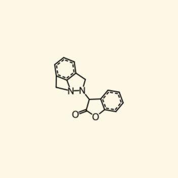 O=C1Oc2ccccc2C1N1Cc2cccc3c2N1C3